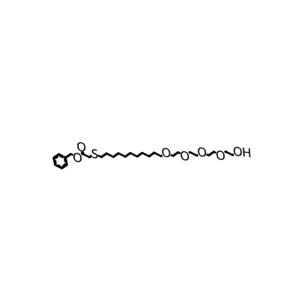 O=C(CSCCCCCCCCCCCOCCOCCOCCOCCO)OCc1ccccc1